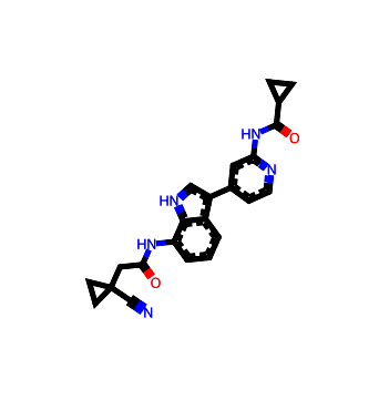 N#CC1(CC(=O)Nc2cccc3c(-c4ccnc(NC(=O)C5CC5)c4)c[nH]c23)CC1